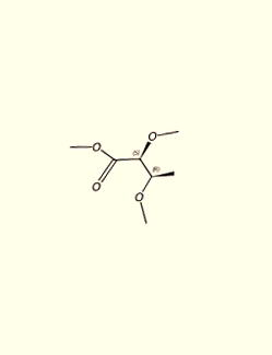 COC(=O)[C@@H](OC)[C@@H](C)OC